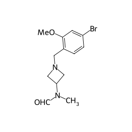 COc1cc(Br)ccc1CN1CC(N(C)C=O)C1